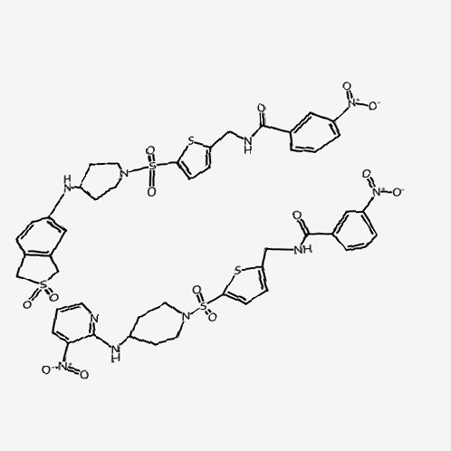 O=C(NCc1ccc(S(=O)(=O)N2CCC(Nc3ccc4c(c3)CS(=O)(=O)C4)CC2)s1)c1cccc([N+](=O)[O-])c1.O=C(NCc1ccc(S(=O)(=O)N2CCC(Nc3ncccc3[N+](=O)[O-])CC2)s1)c1cccc([N+](=O)[O-])c1